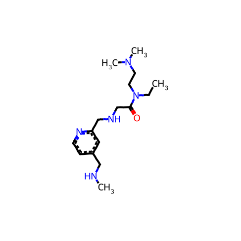 CCN(CCN(C)C)C(=O)CNCc1cc(CNC)ccn1